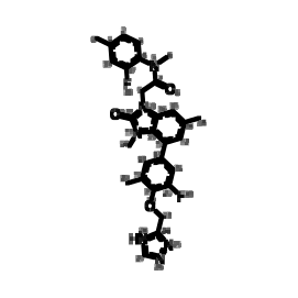 Cc1ccc(N(C)C(=O)Cn2c(=O)n(C)c3c(-c4cc(C)c(OCc5nnc[nH]5)c(F)c4)cc(C)cc32)c(F)c1